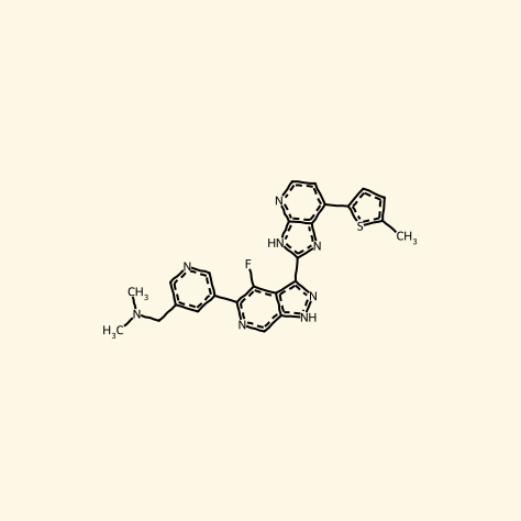 Cc1ccc(-c2ccnc3[nH]c(-c4n[nH]c5cnc(-c6cncc(CN(C)C)c6)c(F)c45)nc23)s1